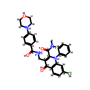 CN(C)C(=O)c1c(CNC(=O)c2ccc(N3CCOCC3)cc2)c(=O)c2ccc(Cl)cc2n1-c1ccccc1